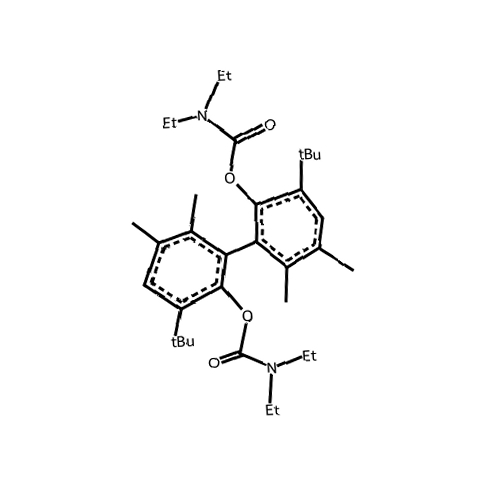 CCN(CC)C(=O)Oc1c(C(C)(C)C)cc(C)c(C)c1-c1c(C)c(C)cc(C(C)(C)C)c1OC(=O)N(CC)CC